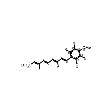 CCOC(=O)/C=C(C)/C=C/C=C(C)/C=C/c1c(C)c(C)c(OC)c(C)c1Cl